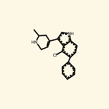 CC1CC(c2c[nH]c3ccc(-c4ccccc4)c(Cl)c23)=CCN1